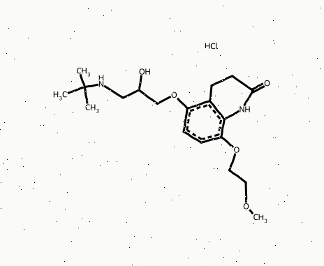 COCCOc1ccc(OCC(O)CNC(C)(C)C)c2c1NC(=O)CC2.Cl